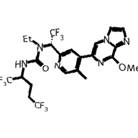 CCN(C(=O)NC(CCC(F)(F)F)C(F)(F)F)[C@@H](c1cc(-c2cn3ccnc3c(OC)n2)c(C)cn1)C(F)(F)F